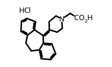 Cl.O=C(O)CN1CCC(=C2c3ccccc3CCc3ccccc32)CC1